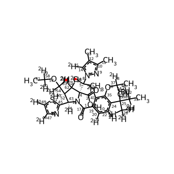 [2H]OC(=O)[C@@]1(C(C)(C)n2nc(C)c(C)c2[2H])N(C(=O)c2c([2H])c([2H])c(C(C([2H])([2H])[2H])(C([2H])([2H])C)C(C)(C)C)c(OC([2H])(C)C)c2[2H])[C@@]([2H])(c2nc([2H])c([2H])s2)[C@@]([2H])(C([2H])([2H])OC([2H])([2H])C)C1([2H])[2H]